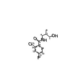 CC(CO)CNC(=O)c1ccc(F)cc1Cl